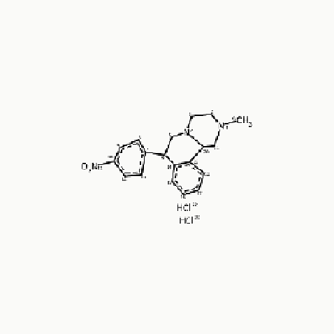 CN1CCN2CC(c3ccc([N+](=O)[O-])cc3)c3ccccc3C2C1.Cl.Cl